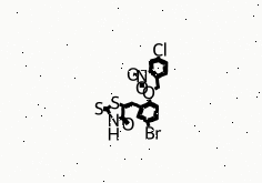 O=C1NC(=S)S/C1=C/c1cc(Br)ccc1OCc1ccc(Cl)cc1[N+](=O)[O-]